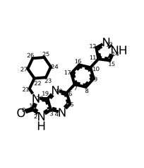 O=c1[nH]c2ncc(-c3ccc(-c4cn[nH]c4)cc3)nc2n1CC1CCCCC1